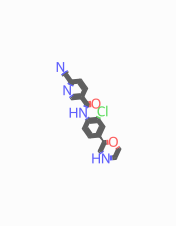 N#Cc1ccc(C(=O)Nc2ccc([C@@H]3CNCCO3)cc2Cl)cn1